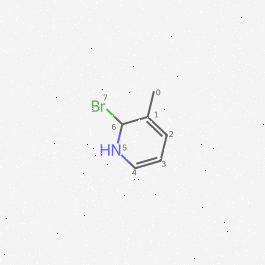 CC1=CC=CNC1Br